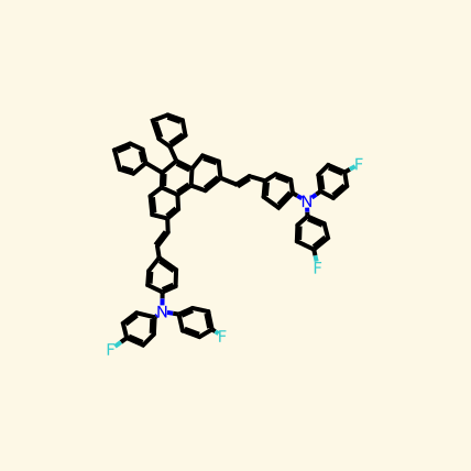 Fc1ccc(N(c2ccc(F)cc2)c2ccc(/C=C/c3ccc4c(-c5ccccc5)c(-c5ccccc5)c5ccc(/C=C/c6ccc(N(c7ccc(F)cc7)c7ccc(F)cc7)cc6)cc5c4c3)cc2)cc1